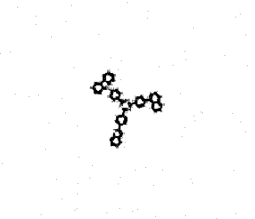 c1ccc2oc(-c3ccc(-c4nc(-c5ccc(-c6cccc7ccccc67)cc5)nc(-c5ccc(-n6c7ccccc7c7ccccc76)cc5)n4)cc3)cc2c1